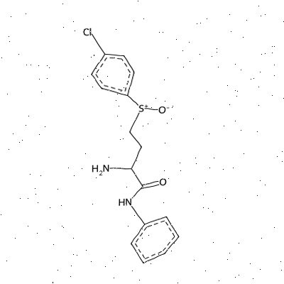 NC(CC[S+]([O-])c1ccc(Cl)cc1)C(=O)Nc1ccccc1